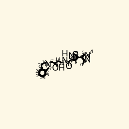 Cc1nn(C)cc1-c1cc(C(=O)NCCC(O)CN2CCc3ccccc3C2)no1